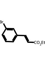 CCOC(=O)C=Cc1cccc(Br)c1